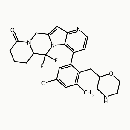 Cc1cc(Cl)cc(-c2ccnc3cc4n(c23)C(F)(F)C2CCCC(=O)N2C4)c1CC1CNCCO1